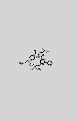 CCOC(=O)N1CCN(C(=O)[C@H](CCC(=O)O)NC(=O)c2cc(CCC(C)(C)O)nc(-c3ccccc3)n2)CC1